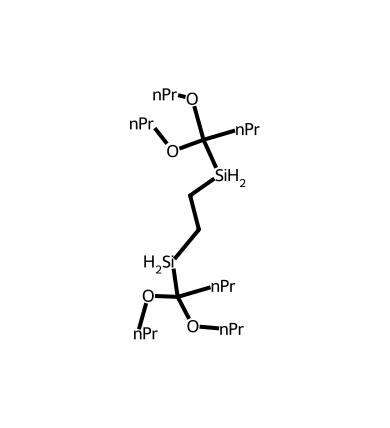 CCCOC(CCC)(OCCC)[SiH2]CC[SiH2]C(CCC)(OCCC)OCCC